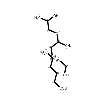 CC(C)COCC(C)C.CC(O)COC(C)CO.O=C(O)CCCCC(=O)O